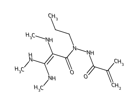 C=C(C)C(=O)NN(CCC)C(=O)C(NC)=C(NC)NC